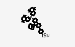 CC(C)(C)c1ccc(-c2ccc3c(c2)C2(c4cc(N(c5ccc6c(c5)C(C)(C)CCC6(C)C)c5ccc6c(c5)C(C)(C)CCC6(C)C)ccc4-3)C3CC4CC5CC2C53C4)cc1